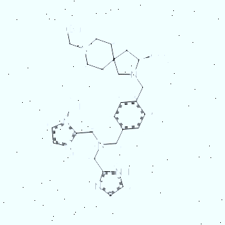 CCOC(=O)[C@@H]1CC2(CCN(CC(C)(C)C)CC2)CN1Cc1ccc(CN(Cc2ncc[nH]2)Cc2nccn2C)cc1